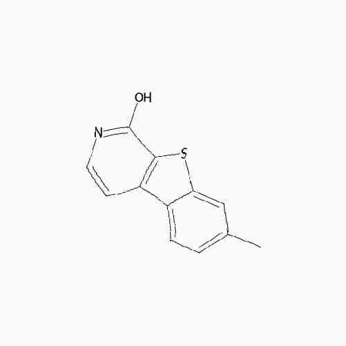 Cc1ccc2c(c1)sc1c(O)nccc12